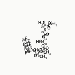 CCC(C)(CC(C)(C)C(=O)OCC(O)COC(=O)CSCC(C)C(=O)OC)C(=O)OCCC(C(F)(F)F)C(F)(F)C(F)(F)C(F)F